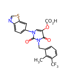 Cc1c(Cn2c(=O)c(OC(=O)O)cn(-c3ccc4ncsc4c3)c2=O)cccc1C(F)(F)F